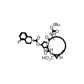 CC(C)(C)OC(=O)N[C@H]1CCCCC/C=C\[C@@H]2C[C@@]2(C(=O)O)NC(=O)[C@@H]2C[C@@H](OC(=O)N3CCc4c(F)cccc4C3)CN2C1=O